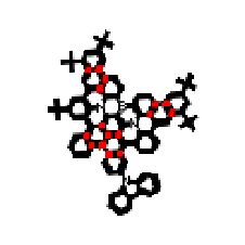 CC(C)(C)c1cc(-c2ccc3c(c2)N(c2c(-c4ccccc4)cccc2-c2ccccc2)c2cc(N(c4ccccc4)c4ccc(-n5c6ccccc6c6ccccc65)cc4)cc4c2B3c2ccc(-c3cc(C(C)(C)C)cc(C(C)(C)C)c3)cc2N4c2c(-c3ccccc3)cc(C(C)(C)C)cc2-c2ccccc2)cc(C(C)(C)C)c1